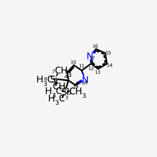 C[Si](C)(C)C1([Si](C)(C)C)C=CC(c2ccccn2)N=C1